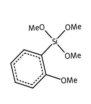 COc1ccccc1[Si](OC)(OC)OC